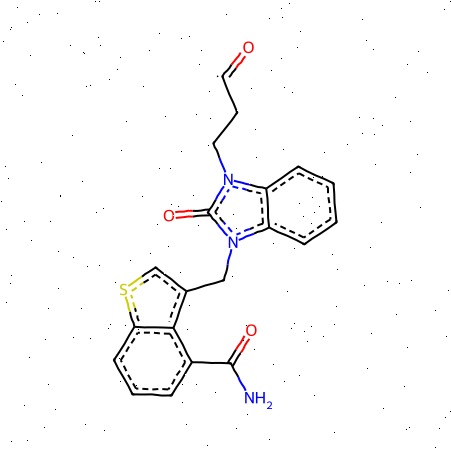 NC(=O)c1cccc2scc(Cn3c(=O)n(CC[C]=O)c4ccccc43)c12